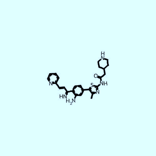 Cc1nc(NC(=O)CC2CCNCC2)sc1-c1ccc(C(=N)/C=C/c2ccccn2)c(N)c1